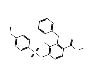 COC(=O)c1ccc(NS(=O)(=O)c2ccc(OC)cc2)c(Br)c1Cc1ccccc1